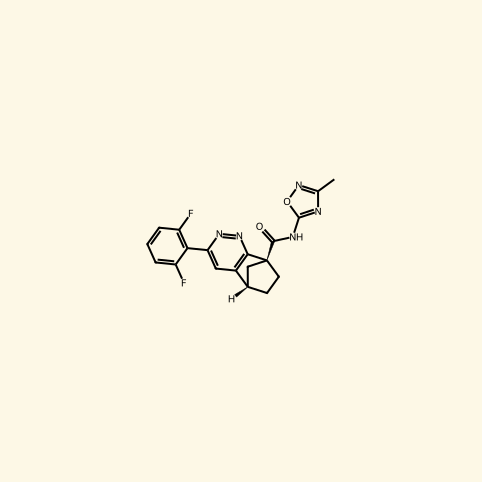 Cc1noc(NC(=O)[C@@]23CC[C@@H](C2)c2cc(-c4c(F)cccc4F)nnc23)n1